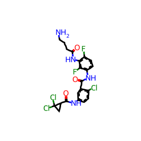 NCCCC(=O)Nc1c(F)ccc(NC(=O)c2cc(NC(=O)C3CC3(Cl)Cl)ccc2Cl)c1F